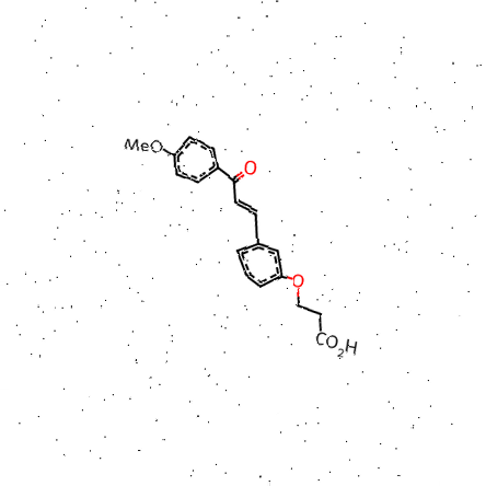 COc1ccc(C(=O)C=Cc2cccc(OCCC(=O)O)c2)cc1